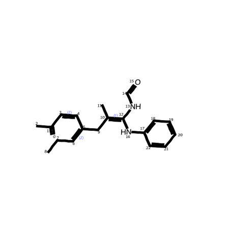 C=C(C)/C=C\C(=C/CC)C/C(C)=C(/NC=O)Nc1ccccc1